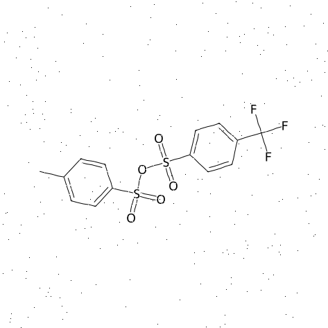 Cc1ccc(S(=O)(=O)OS(=O)(=O)c2ccc(C(F)(F)F)cc2)cc1